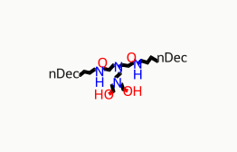 CCCCCCCCCCCCCCNC(=O)CCN(CCC(=O)NCCCCCCCCCCCCCC)CCN(CCO)CCO